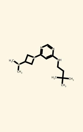 CN(C)C1CN(c2cc(NCCC(C)(C)C)ncn2)C1